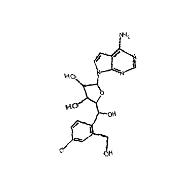 Nc1ncnc2c1ccn2C1OC(C(O)c2ccc(Cl)cc2CO)C(O)C1O